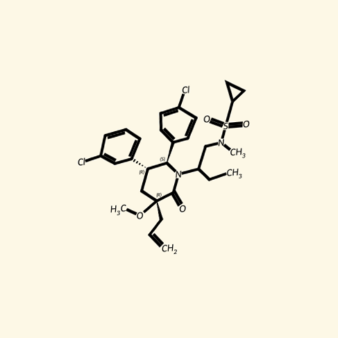 C=CC[C@@]1(OC)C[C@H](c2cccc(Cl)c2)[C@@H](c2ccc(Cl)cc2)N(C(CC)CN(C)S(=O)(=O)C2CC2)C1=O